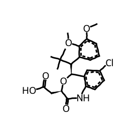 COc1cccc(C([C@@H]2O[C@H](CC(=O)O)C(=O)Nc3ccc(Cl)cc32)C(C)(C)C)c1OC